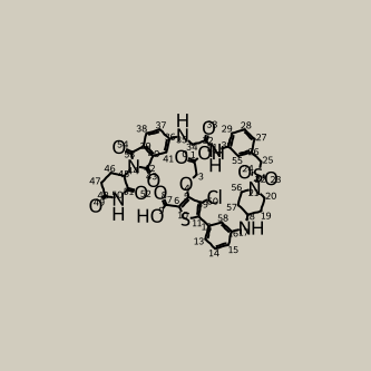 O=C(O)COc1c(C(=O)O)sc(-c2cccc(NC3CCN(S(=O)(=O)Cc4cccc(NC(=O)CNc5ccc6c(c5)C(=O)N(C5CCC(=O)NC5=O)C6=O)c4)CC3)c2)c1Cl